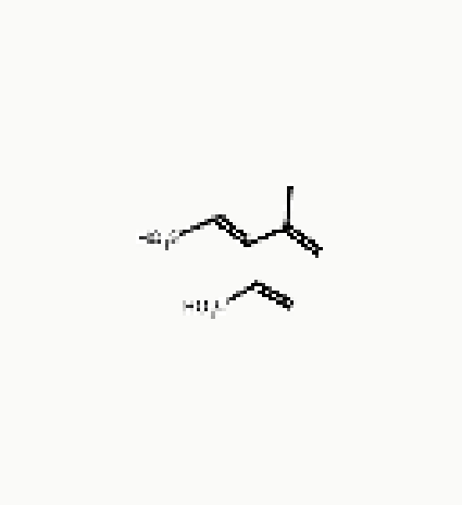 C=C(C)C=CS(=O)(=O)O.C=CC(=O)O